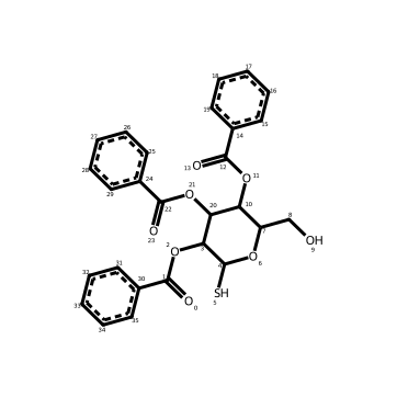 O=C(OC1C(S)OC(CO)C(OC(=O)c2ccccc2)C1OC(=O)c1ccccc1)c1ccccc1